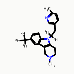 [2H]C([2H])([2H])c1ccc2c(c1)c1c(n2C([2H])([2H])Cc2ccc(C)nc2)CCN(C)C1